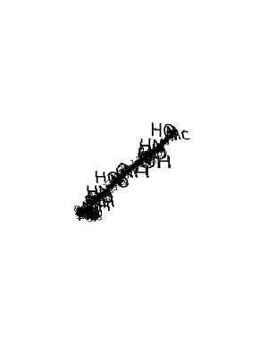 CC(=O)N(O)CCCCCNC(=O)CCC(=O)N(O)CCCCCNC(=O)CCC(=O)N(O)CCCCCNC(=O)CCC(=O)NC(=S)NN=C(c1ccccn1)c1ccccn1